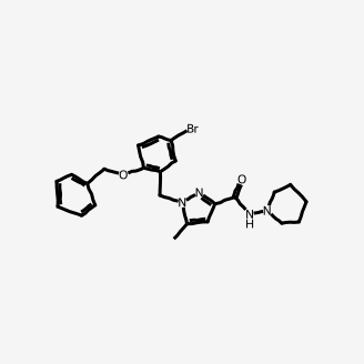 Cc1cc(C(=O)NN2CCCCC2)nn1Cc1cc(Br)ccc1OCc1ccccc1